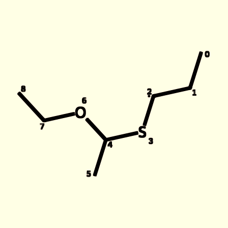 CC[CH]SC(C)OCC